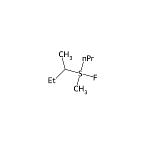 CCCS(C)(F)C(C)CC